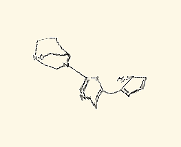 C1=C[SeH2]C(c2nnc(N3CCN4CCC3CC4)s2)=C1